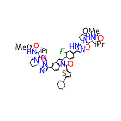 COC(=O)N[C@H](C(=O)N1CCC[C@H]1c1ncc(-c2cc(F)c3c(c2)OC(c2ccc(C4CCCCC4)s2)n2c-3cc3cc(-c4cnc([C@@H]5CCCN5C(=O)[C@@H](NC(=O)OC)C(C)C)[nH]4)ccc32)[nH]1)C(C)C